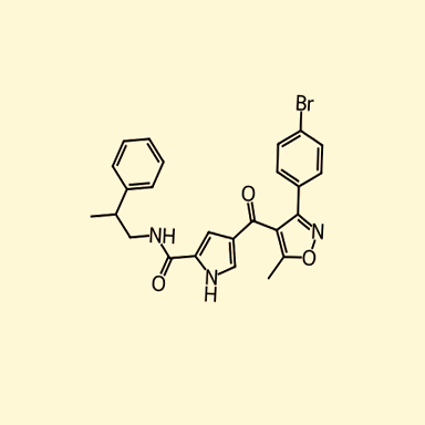 Cc1onc(-c2ccc(Br)cc2)c1C(=O)c1c[nH]c(C(=O)NCC(C)c2ccccc2)c1